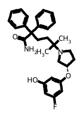 CC(C)(CCC(C(N)=O)(c1ccccc1)c1ccccc1)N1CC[C@H](Oc2cc(O)cc(F)c2)C1